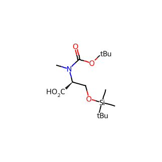 CN(C(=O)OC(C)(C)C)[C@@H](CO[Si](C)(C)C(C)(C)C)C(=O)O